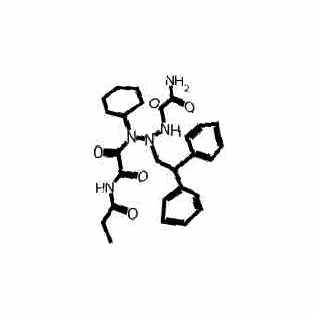 CCC(=O)NC(=O)C(=O)N(C1CCCCC1)N(CC(c1ccccc1)c1ccccc1)NC(=O)C(N)=O